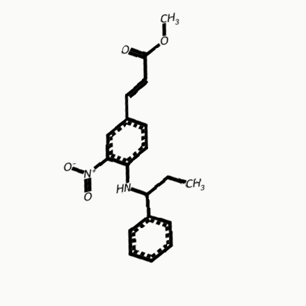 CCC(Nc1ccc(/C=C/C(=O)OC)cc1[N+](=O)[O-])c1ccccc1